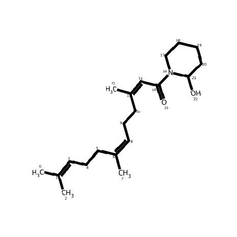 CC(C)=CCCC(C)=CCCC(C)=CC(=O)N1CCCCC1O